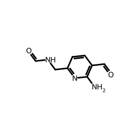 Nc1nc(CNC=O)ccc1C=O